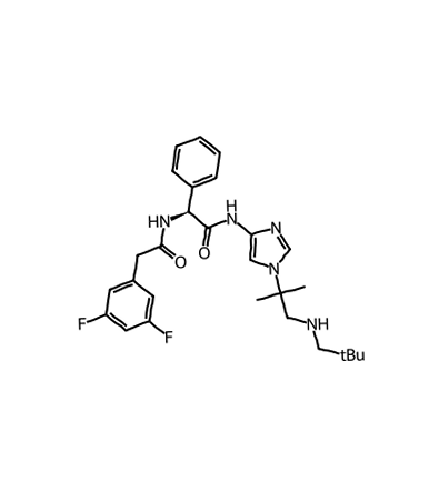 CC(C)(C)CNCC(C)(C)n1cnc(NC(=O)[C@@H](NC(=O)Cc2cc(F)cc(F)c2)c2ccccc2)c1